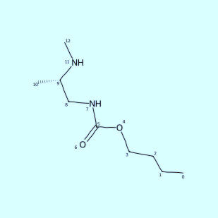 CCCCOC(=O)NC[C@H](C)NC